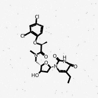 CCc1cn([C@@H]2CC(O)[C@H](CN(C)C(=O)[C@H](C)Oc3ccc(Cl)cc3Cl)O2)c(=O)[nH]c1=O